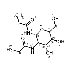 CCC(=O)N[C@@H]1OC(CO)[C@@H](O)[C@H](O)C1NC(=O)CS